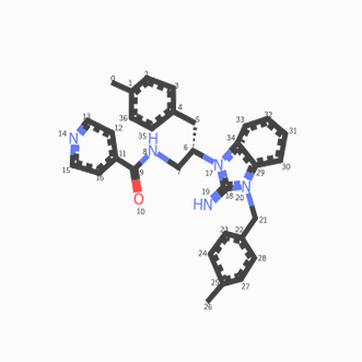 Cc1ccc(C[C@@H](CNC(=O)c2ccncc2)n2c(=N)n(Cc3ccc(C)cc3)c3ccccc32)cc1